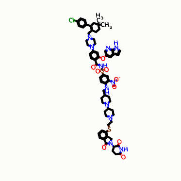 CC1(C)CCC(CN2CCN(c3ccc(C(=O)NS(=O)(=O)c4ccc(NCC5CCN(C6CCN(CCSc7cccc8c7CN(C7CCC(=O)NC7=O)C8=O)CC6)CC5)c([N+](=O)[O-])c4)c(Oc4cnc5[nH]ccc5c4)c3)CC2)=C(c2ccc(Cl)cc2)C1